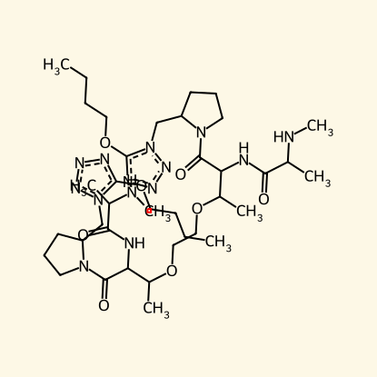 CCCCOc1nnnn1CC1CCCN1C(=O)C(NC(=O)C(C)NC)C(C)OCCOC(C)C(NC(=O)C(C)NC)C(=O)N1CCCC1Cn1nnnc1OCCCC